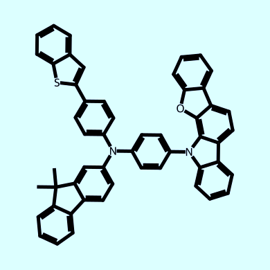 CC1(C)c2ccccc2-c2ccc(N(c3ccc(-c4cc5ccccc5s4)cc3)c3ccc(-n4c5ccccc5c5ccc6c7ccccc7oc6c54)cc3)cc21